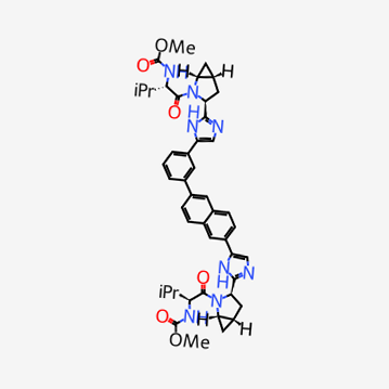 COC(=O)N[C@H](C(=O)N1[C@@H]2C[C@@H]2C[C@H]1c1ncc(-c2cccc(-c3ccc4cc(-c5cnc([C@H]6C[C@@H]7C[C@@H]7N6C(=O)[C@@H](NC(=O)OC)C(C)C)[nH]5)ccc4c3)c2)[nH]1)C(C)C